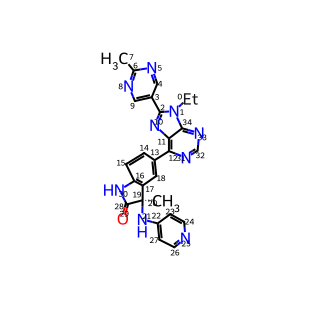 CCn1c(-c2cnc(C)nc2)nc2c(-c3ccc4c(c3)[C@@](C)(Nc3ccncc3)C(=O)N4)ncnc21